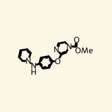 COC(=O)N1C=C(Oc2ccc(NN3C=CC=CC3)cc2)N=CC1